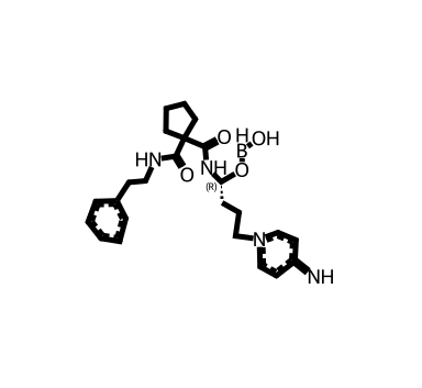 N=c1ccn(CCC[C@H](NC(=O)C2(C(=O)NCCc3ccccc3)CCCC2)OBO)cc1